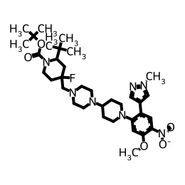 COc1cc(N2CCC(N3CCN(CC4(F)CCN(C(=O)OC(C)(C)C)C(C(C)(C)C)C4)CC3)CC2)c(-c2cnn(C)c2)cc1[N+](=O)[O-]